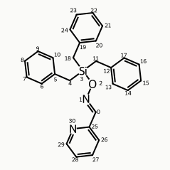 C(=NO[Si](Cc1ccccc1)(Cc1ccccc1)Cc1ccccc1)c1ccccn1